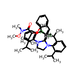 CON(C)C(=O)C(Oc1ccccc1[CH]=[Ru-4]([Cl])([Cl])=[C]1N(c2c(C(C)C)cccc2C(C)C)CCN1c1c(C(C)C)cccc1C(C)C)C(C)C